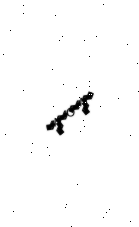 C=CCN(CC=C)CCCOCCCN(CC=C)CC=C